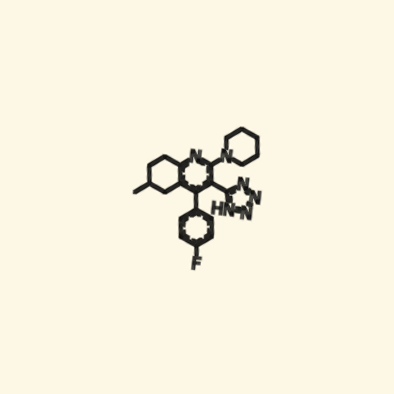 CC1CCc2nc(N3CCCCC3)c(-c3nnn[nH]3)c(-c3ccc(F)cc3)c2C1